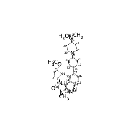 CO[C@H]1CC[C@H](n2c(=O)n(C)c3nnc4ccc(-c5ccc(N6CCC(N(C)C)CC6)cc5)cc4c32)C1